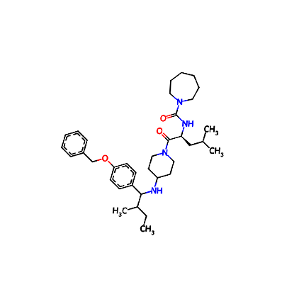 CCC(C)C(NC1CCN(C(=O)[C@H](CC(C)C)NC(=O)N2CCCCCC2)CC1)c1ccc(OCc2ccccc2)cc1